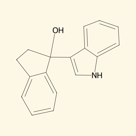 OC1(c2c[nH]c3ccccc23)CCc2ccccc21